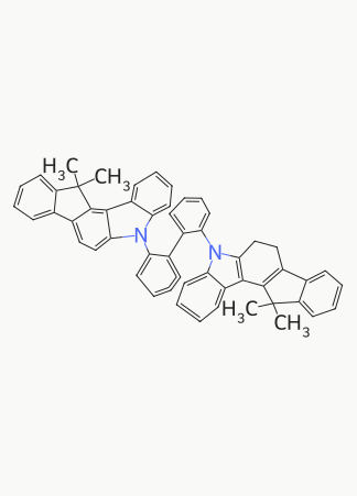 CC1(C)C2=C(CCc3c2c2ccccc2n3-c2ccccc2C2=C=C=CC=C2n2c3ccccc3c3c4c(ccc32)-c2ccccc2C4(C)C)c2ccccc21